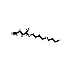 CCCCOCCCCOC(=O)C=CC#N